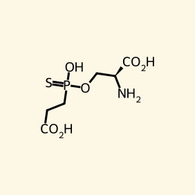 N[C@@H](COP(O)(=S)CCC(=O)O)C(=O)O